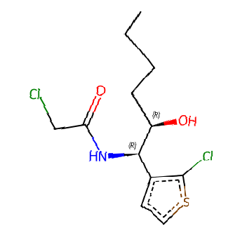 CCCC[C@@H](O)[C@H](NC(=O)CCl)c1ccsc1Cl